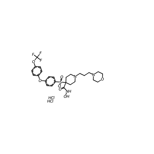 Cl.Cl.O=C(NO)C1(S(=O)(=O)c2ccc(Oc3ccc(OC(F)(F)F)cc3)cc2)CCN(CCCN2CCOCC2)CC1